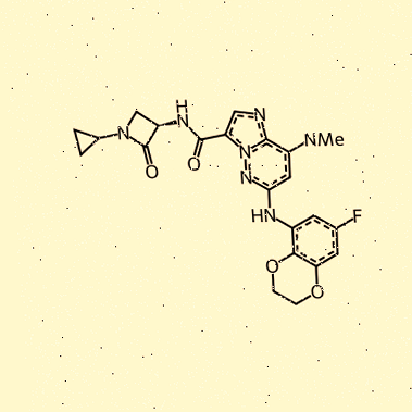 CNc1cc(Nc2cc(F)cc3c2OCCO3)nn2c(C(=O)N[C@@H]3CN(C4CC4)C3=O)cnc12